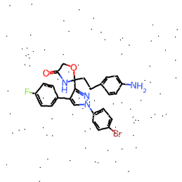 Nc1ccc(CCC2(c3nn(-c4ccc(Br)cc4)cc3-c3ccc(F)cc3)NC(=O)CO2)cc1